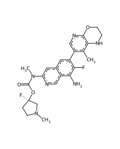 Cc1c(-c2cc3cc(N(C)C(=O)O[C@]4(F)CCN(C)C4)ncc3c(N)c2F)cnc2c1NCCO2